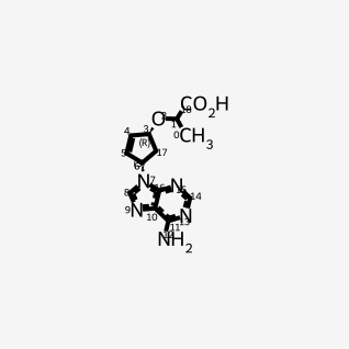 CC(O[C@H]1C=C[C@@H](n2cnc3c(N)ncnc32)C1)C(=O)O